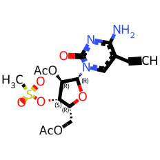 C#Cc1cn([C@@H]2O[C@H](COC(C)=O)[C@H](OS(C)(=O)=O)[C@H]2OC(C)=O)c(=O)nc1N